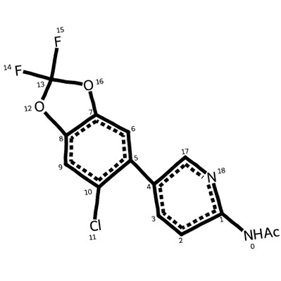 CC(=O)Nc1ccc(-c2cc3c(cc2Cl)OC(F)(F)O3)cn1